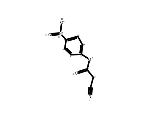 N#CCC(=O)Oc1ccc([N+](=O)[O-])cc1